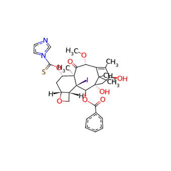 CO[C@H]1C(=O)[C@]2(C)[C@@H](OC(=S)n3ccnc3)C[C@H]3OC[C@H]3[C@@]2(I)[C@H](OC(=O)c2ccccc2)[C@]2(O)C[C@H](O)C(C)=C1C2(C)C